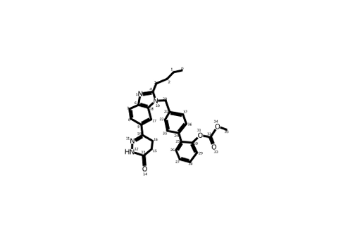 CCCCc1nc2ccc(C3=NNC(=O)CC3)cc2n1Cc1ccc(-c2ccccc2OC(=O)OC)cc1